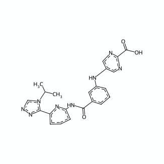 CC(C)n1cnnc1-c1cccc(NC(=O)c2cccc(Nc3cnc(C(=O)O)nc3)c2)n1